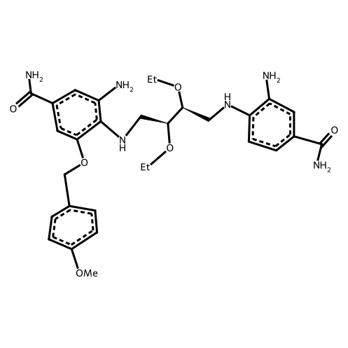 CCO[C@@H](CNc1ccc(C(N)=O)cc1N)[C@H](CNc1c(N)cc(C(N)=O)cc1OCc1ccc(OC)cc1)OCC